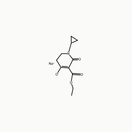 CCOC(=O)C1=C([O-])CCN(C2CC2)C1=O.[Na+]